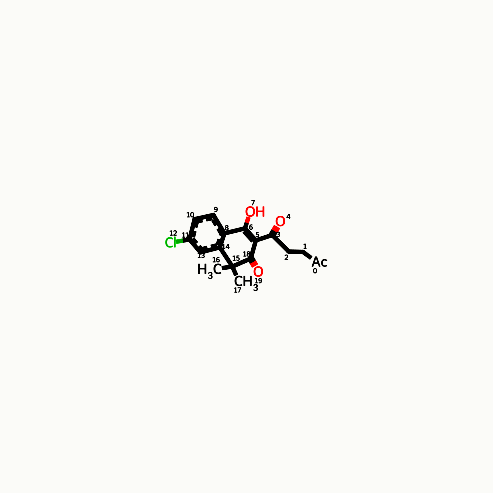 CC(=O)CCC(=O)C1=C(O)c2ccc(Cl)cc2C(C)(C)C1=O